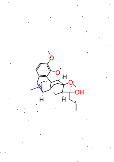 CCC[C@](C)(O)[C@H]1C[C@@]23CC[C@]1(OC)[C@@H]1Oc4c(OC)ccc5c4[C@@]12CCN(C)[C@@H]3C5